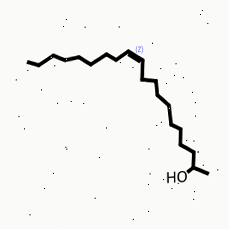 CCCCCCCC/C=C\CCCCCCC[CH]C(C)O